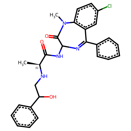 C[C@H](NCC(O)c1ccccc1)C(=O)NC1N=C(c2ccccc2)c2cc(Cl)ccc2N(C)C1=O